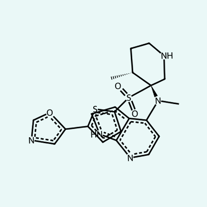 C[C@@H]1CCNC[C@]1(N(C)c1ccnc2[nH]ccc12)S(=O)(=O)c1ccc(-c2cnco2)s1